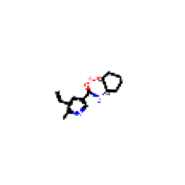 C=Cc1cc(C(=O)N[C@H]2CCCC[C@@H]2O)cnc1C